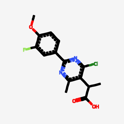 COc1ccc(-c2nc(C)c(C(C)C(=O)O)c(Cl)n2)cc1F